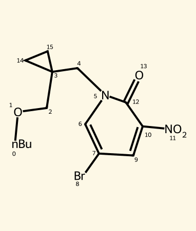 CCCCOCC1(Cn2cc(Br)cc([N+](=O)[O-])c2=O)CC1